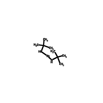 CC(C)(C)[NH][Zn][NH]C(C)(C)C